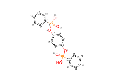 O=P(O)(Oc1ccc(OP(=O)(O)c2ccccc2)cc1)c1ccccc1